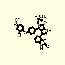 CC(F)(F)CN1C(=O)c2[nH]nc(-c3cccc4[nH]c(=O)oc34)c2C1c1ccc(Oc2ccc(OC(F)(F)F)cc2Cl)cc1